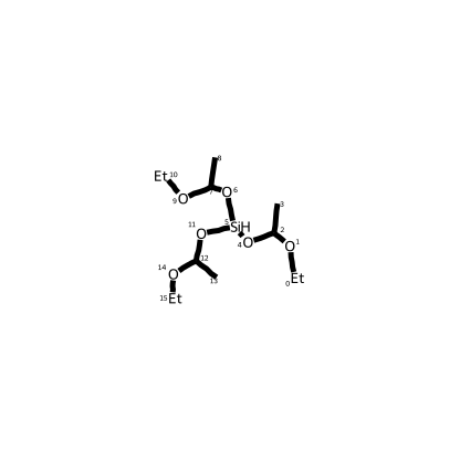 CCOC(C)O[SiH](OC(C)OCC)OC(C)OCC